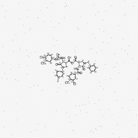 Cc1ccc(N2CC(C(=O)OC(=O)C3CN(Cc4ccccc4)C(=O)C3NC(=O)c3ccc(Cl)c(Cl)c3)C(NC(=O)Nc3ccc(Cl)c(Cl)c3)C2=O)cc1